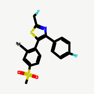 [3H]c1cc(S(C)(=O)=O)ccc1-c1sc(CF)nc1-c1ccc(F)cc1